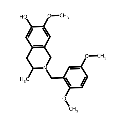 COc1ccc(OC)c(CN2Cc3cc(OC)c(O)cc3CC2C)c1